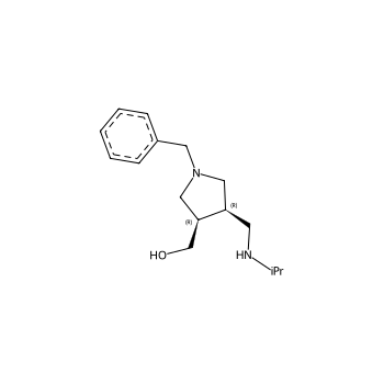 CC(C)NC[C@@H]1CN(Cc2ccccc2)C[C@@H]1CO